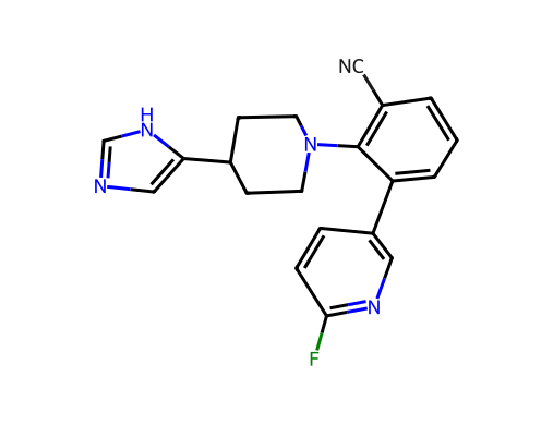 N#Cc1cccc(-c2ccc(F)nc2)c1N1CCC(c2cnc[nH]2)CC1